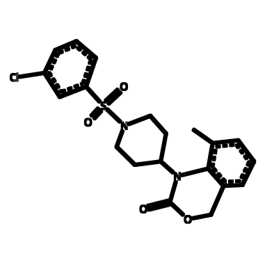 Cc1cccc2c1N(C1CCN(S(=O)(=O)c3cccc(Cl)c3)CC1)C(=O)OC2